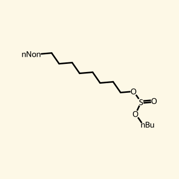 CCCCCCCCCCCCCCCCCOS(=O)OCCCC